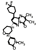 Cc1nc2c(C3CCC(F)(F)CC3)cc([C@H]3CCO[C@@H](c4ccc(=O)n(C)c4)C3)nn2c(=O)c1C